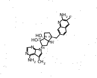 Cc1cn([C@@H]2C[C@@H]3[C@H](Cc4ccc5cc(F)c(N)nc5c4)CC[C@]3(O)[C@H]2O)c2ncnc(N)c12